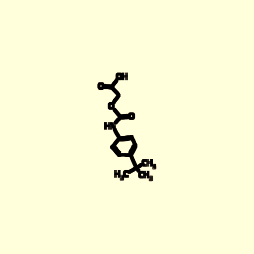 CC(C)(C)c1ccc(NC(=O)OCC(=O)O)cc1